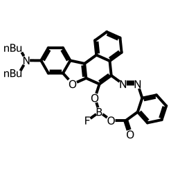 CCCCN(CCCC)c1ccc2c(c1)oc1c3c(c4ccccc4c12)/N=N/c1ccccc1C(=O)OB(F)O3